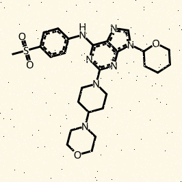 CS(=O)(=O)c1ccc(Nc2nc(N3CCC(N4CCOCC4)CC3)nc3c2ncn3C2CCCCO2)cc1